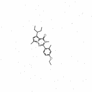 CCOc1ccc(-c2nn3c(C)cc(C(CC)CC)c3c(=O)n2C)c(C)c1